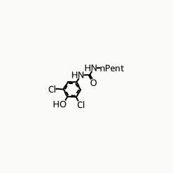 CCCCCNC(=O)Nc1cc(Cl)c(O)c(Cl)c1